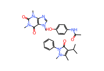 CC(=O)Nc1ccc(O)cc1.Cc1c(C(C)C)c(=O)n(-c2ccccc2)n1C.Cn1c(=O)c2c(ncn2C)n(C)c1=O